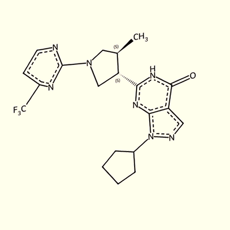 C[C@@H]1CN(c2nccc(C(F)(F)F)n2)C[C@H]1c1nc2c(cnn2C2CCCC2)c(=O)[nH]1